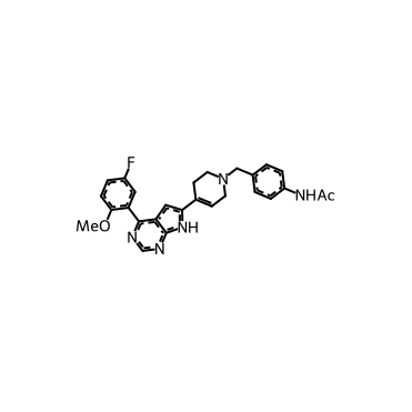 COc1ccc(F)cc1-c1ncnc2[nH]c(C3=CCN(Cc4ccc(NC(C)=O)cc4)CC3)cc12